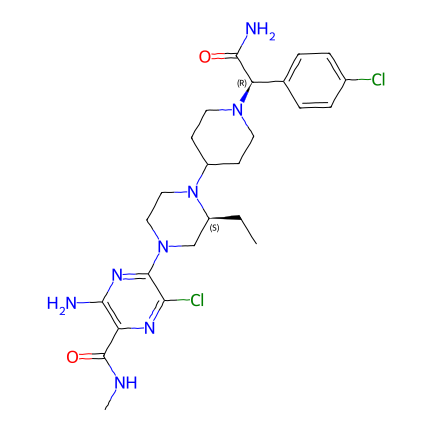 CC[C@H]1CN(c2nc(N)c(C(=O)NC)nc2Cl)CCN1C1CCN([C@@H](C(N)=O)c2ccc(Cl)cc2)CC1